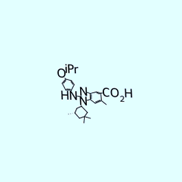 Cc1cc2c(cc1C(=O)O)nc(Nc1ccc(OC(C)C)cc1)n2[C@H]1C[C@@H](C)CC(C)(C)C1